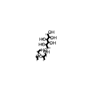 CC(O)CO.CCOCC.OC[C@@H](O)[C@@H](O)[C@H](O)[C@@H](O)CO